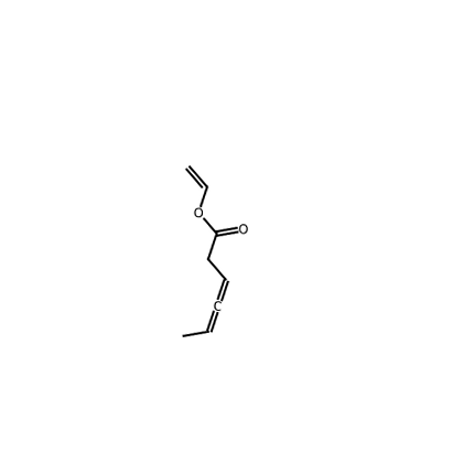 C=COC(=O)CC=C=CC